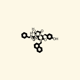 CN1CC(=O)N2[C@@H](Cc3ccc(O)cc3)C(=O)N(Cc3cccc4ccccc34)C[C@]2(N)N1C(=O)NCc1ccccc1